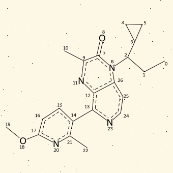 CCC(C1CC1)n1c(=O)c(C)nc2c(-c3ccc(OC)nc3C)nccc21